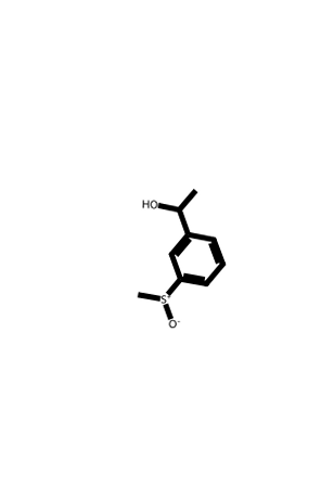 CC(O)c1cccc([S+](C)[O-])c1